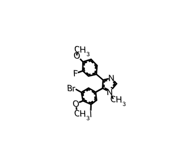 COc1ccc(-c2ncn(C)c2-c2cc(Br)c(OC)c(I)c2)cc1F